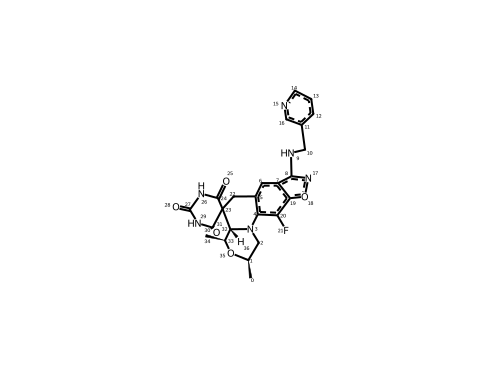 C[C@@H]1CN2c3c(cc4c(NCc5cccnc5)noc4c3F)CC3(C(=O)NC(=O)NC3=O)[C@H]2[C@H](C)O1